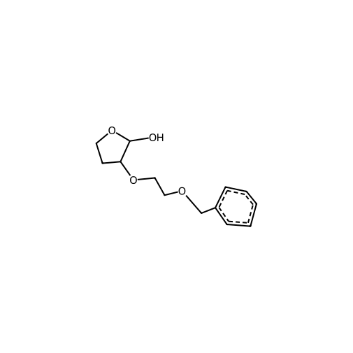 OC1OCCC1OCCOCc1ccccc1